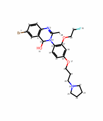 CC1=Nc2ccc(Br)cc2C(O)N1c1ccc(OCCCN2CCCC2)cc1OCCF